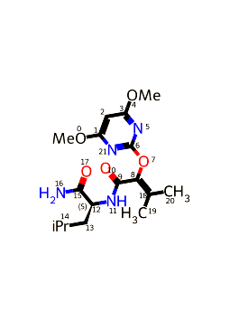 COc1cc(OC)nc(OC(C(=O)N[C@@H](CC(C)C)C(N)=O)=C(C)C)n1